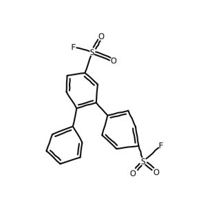 O=S(=O)(F)c1ccc(-c2cc(S(=O)(=O)F)ccc2-c2ccccc2)cc1